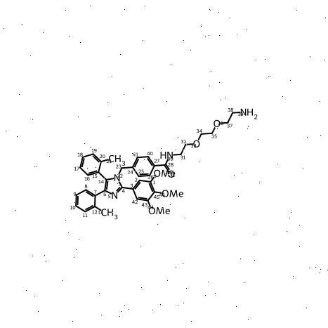 COc1cc(-c2nc(-c3ccccc3C)c(-c3ccccc3C)n2Cc2ccc(C(=O)NCCOCCOCCN)cc2)cc(OC)c1OC